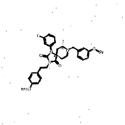 COc1ccc(CCN2C(=O)N(c3cccc(F)c3)[C@@]3(CCN(Cc4cccc(OC(C)C)c4)[C@@H](C)C3)C2=O)cc1